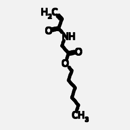 C=CC(=O)NCC(=O)OCCCCCC